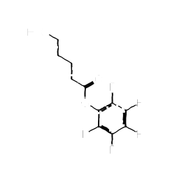 CCCCCC(=O)Oc1c(F)c(F)c(F)c(F)c1F